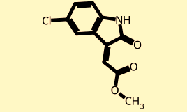 COC(=O)C=C1C(=O)Nc2ccc(Cl)cc21